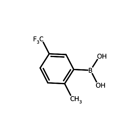 Cc1ccc(C(F)(F)F)cc1B(O)O